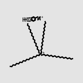 CCCCCCCCCCCCCCCCCC[N+](CCCCCCCCCCCCCCCCCC)(CCCCCCCCCCCCCCCCCC)CCCCCCCCCCCCCCCCCC.C[N+](C)(C)Cc1ccccc1.[OH-].[OH-]